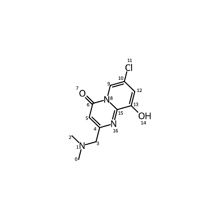 CN(C)Cc1cc(=O)n2cc(Cl)cc(O)c2n1